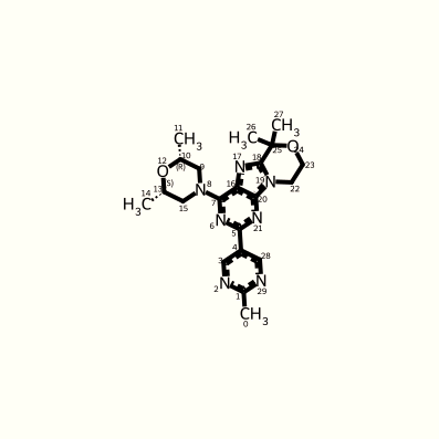 Cc1ncc(-c2nc(N3C[C@@H](C)O[C@@H](C)C3)c3nc4n(c3n2)CCOC4(C)C)cn1